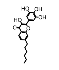 CCCCCCc1ccc2c(=O)c(O)c(-c3cc(O)c(O)c(O)c3)oc2c1